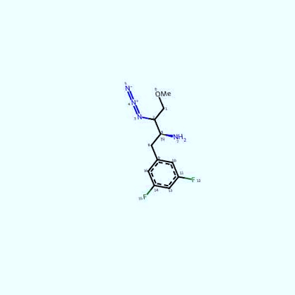 COCC(N=[N+]=[N-])[C@@H](N)Cc1cc(F)cc(F)c1